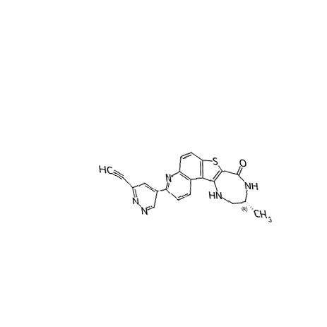 C#Cc1cc(-c2ccc3c(ccc4sc5c(c43)NC[C@@H](C)NC5=O)n2)cnn1